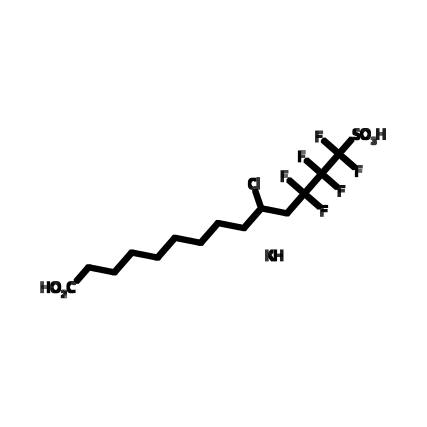 O=C(O)CCCCCCCCC(Cl)CC(F)(F)C(F)(F)C(F)(F)S(=O)(=O)O.[KH]